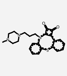 CN1CCN(CCCn2c3ccccc3sc3ccccc3c3c(=O)c(=O)c32)CC1